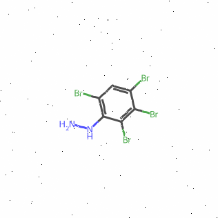 NNc1c(Br)cc(Br)c(Br)c1Br